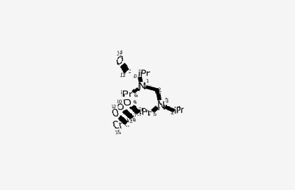 CC(C)N([C]N(C(C)C)C(C)C)C(C)C.[C]=O.[C]=O.[C]=O.[C]=O.[Cr]